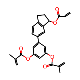 C=CC(=O)OC1CCc2ccc(-c3cc(OC(=O)C(=C)C)cc(OC(=O)C(=C)C)c3)cc21